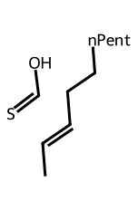 CC=CCCCCCCC.OC=S